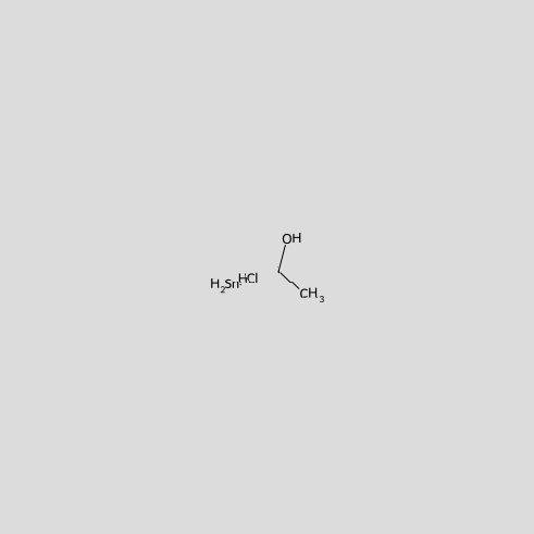 CCO.Cl.[SnH2]